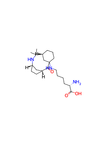 CC1(C)N[C@H]2CC[C@H](C2)C(=O)C2(NCCCC[C@H](N)C(=O)O)CCC[C@@H]1C2